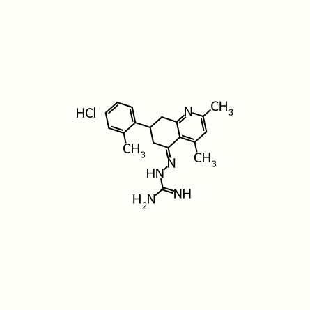 Cc1cc(C)c2c(n1)CC(c1ccccc1C)CC2=NNC(=N)N.Cl